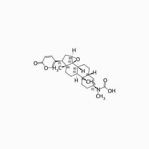 CN(C(=O)O)[C@H]1CC[C@@]2(C)[C@H](CC[C@@H]3[C@@H]2CC[C@]2(C)[C@@H](c4ccc(=O)oc4)C[C@H]4O[C@]342)C1